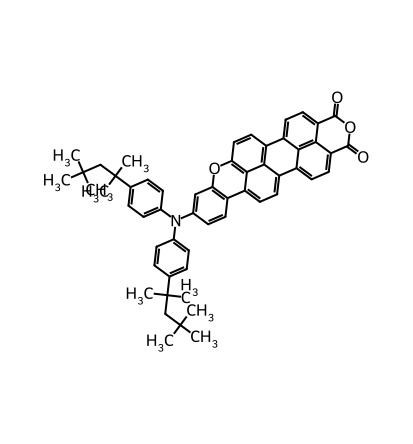 CC(C)(C)CC(C)(C)c1ccc(N(c2ccc(C(C)(C)CC(C)(C)C)cc2)c2ccc3c(c2)oc2ccc4c5ccc6c(=O)oc(=O)c7ccc(c8ccc3c2c48)c5c67)cc1